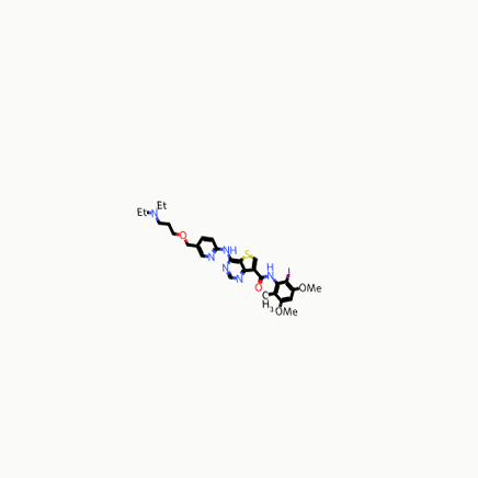 CCN(CC)CCCOCc1ccc(Nc2ncnc3c(C(=O)Nc4c(C)c(OC)cc(OC)c4I)csc23)nc1